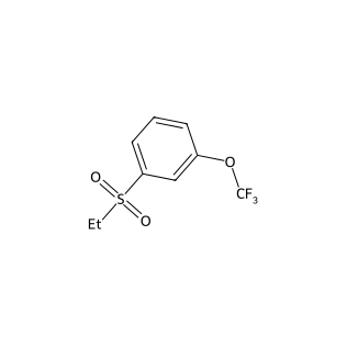 CCS(=O)(=O)c1cccc(OC(F)(F)F)c1